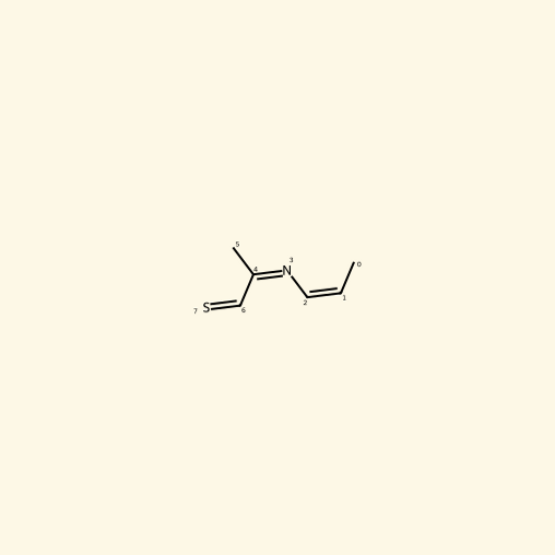 C/C=C\N=C(\C)C=S